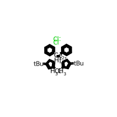 CC1=[C]([Hf+2]([C]2=C(C)C=C(C(C)(C)C)C2)=[Ge]([c]2ccccc2)[c]2ccccc2)CC(C(C)(C)C)=C1.[Cl-].[Cl-]